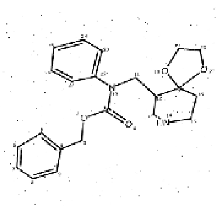 O=C(OCc1ccccc1)N(CC1CNCCC12OCCO2)c1ccccc1